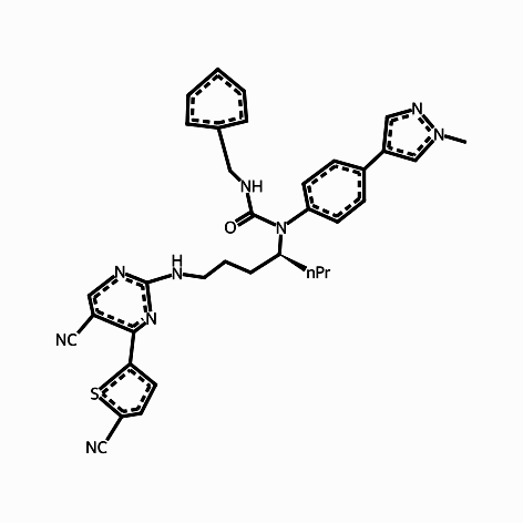 CCC[C@@H](CCCNc1ncc(C#N)c(-c2ccc(C#N)s2)n1)N(C(=O)NCc1ccccc1)c1ccc(-c2cnn(C)c2)cc1